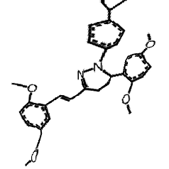 COc1ccc(OC)c(C=CC2=NN(c3ccc(C(C)C)cc3)C(c3cc(OC)ccc3OC)C2)c1